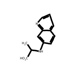 CC(Nc1ccc2cccnc2c1)C(=O)O